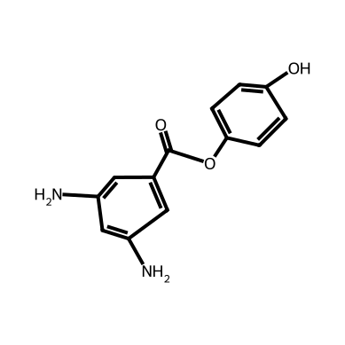 Nc1cc(N)cc(C(=O)Oc2ccc(O)cc2)c1